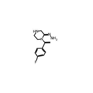 C=C(c1ccc(F)cc1)N1CCNC/C1=N/N